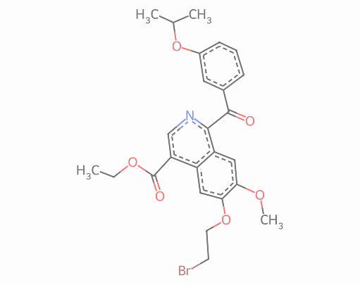 CCOC(=O)c1cnc(C(=O)c2cccc(OC(C)C)c2)c2cc(OC)c(OCCBr)cc12